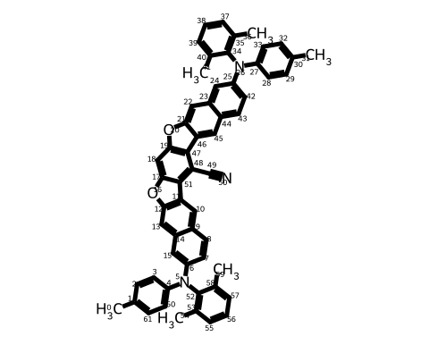 Cc1ccc(N(c2ccc3cc4c(cc3c2)oc2cc3oc5cc6cc(N(c7ccc(C)cc7)c7c(C)cccc7C)ccc6cc5c3c(C#N)c24)c2c(C)cccc2C)cc1